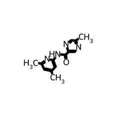 Cc1cc(C)nc(NC(=O)c2cnc(C)cn2)c1